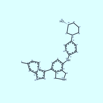 Cc1ccn2c(-c3ccc(Nc4ccc(N5CCC[C@@H](O)C5)cn4)c4c3CNC4)cnc2c1